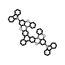 c1ccc2c(c1)Oc1cc(-n3c4ccccc4c4ccccc43)cc3c1B2c1cc2c(cc1O3)c1ccccc1c1cc3c(cc12)B1c2ccccc2Oc2cc(-n4c5ccccc5c5ccccc54)cc(c21)O3